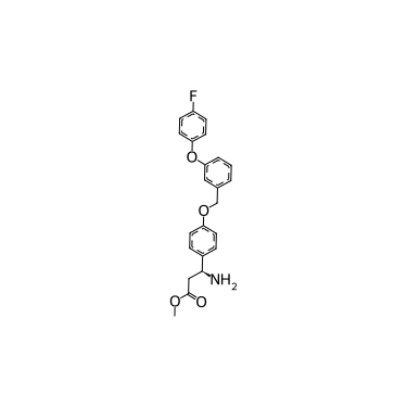 COC(=O)C[C@H](N)c1ccc(OCc2cccc(Oc3ccc(F)cc3)c2)cc1